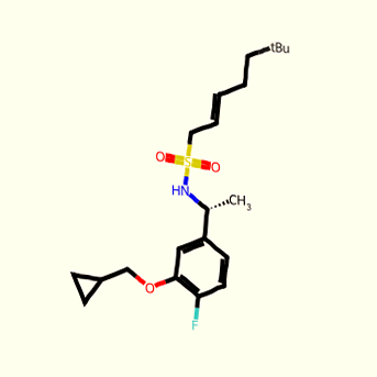 C[C@@H](NS(=O)(=O)C/C=C/CCC(C)(C)C)c1ccc(F)c(OCC2CC2)c1